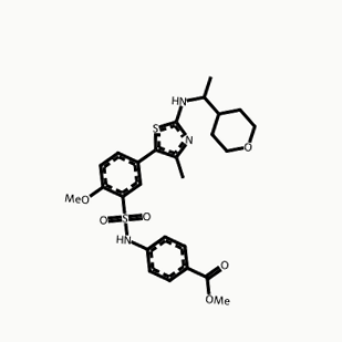 COC(=O)c1ccc(NS(=O)(=O)c2cc(-c3sc(NC(C)C4CCOCC4)nc3C)ccc2OC)cc1